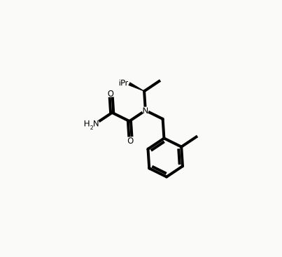 Cc1ccccc1CN(C(=O)C(N)=O)[C@H](C)C(C)C